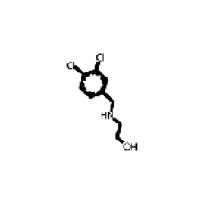 OCCNCc1ccc(Cl)c(Cl)c1